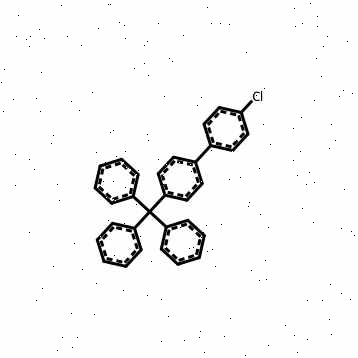 Clc1ccc(-c2ccc(C(c3ccccc3)(c3ccccc3)c3ccccc3)cc2)cc1